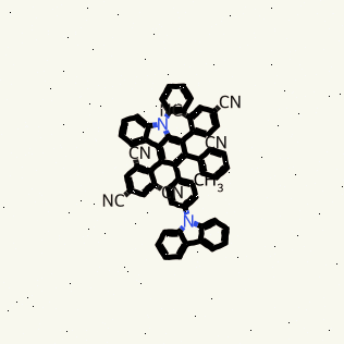 Cc1cc(-n2c3ccccc3c3ccccc32)ccc1-c1c(-c2ccccc2)c(-c2c(C#N)cc(C#N)cc2C#N)c2c(c1-c1c(C#N)cc(C#N)cc1C#N)c1ccccc1n2-c1ccccc1